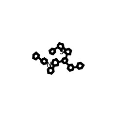 c1ccc(-c2ccc(-n3c4ccccc4c4cc(-c5cc(-c6cccc(-c7ccccc7)c6)cc(-c6cccc7c6sc6c(-c8ccccc8)cccc67)c5)ccc43)cc2)cc1